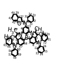 Cc1c(C)n2c3c(ccc(N(c4ccccc4)c4ccccc4)c13)B1c3c-2cc(N(c2ccccc2)c2cc4ccccc4o2)cc3-n2c(C)c(C)c3c(N(c4ccccc4)c4ccccc4)ccc1c32